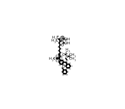 CC(C)N(CC[C@H](c1ccccc1)c1cc(C(=CCCCCCCCC(N(C(=O)O)C(=O)O)C(C)(C)C)C(C)(C)C)ccc1OCc1ccccc1)C(C)C